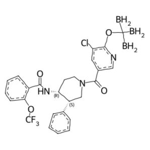 BC(B)(B)Oc1ncc(C(=O)N2CC[C@@H](NC(=O)c3ccccc3OC(F)(F)F)[C@@H](c3ccccc3)C2)cc1Cl